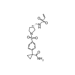 C=CS(=O)(=O)NC[C@H]1CCN(S(=O)(=O)c2ccc(C3(C(N)=O)CC3)cc2)C1